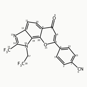 N#Cc1ccc(-c2cc(=O)c3ccc4nc(C(F)(F)F)n(CC(F)(F)F)c4c3o2)cc1